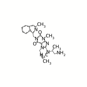 CC#CCn1c(N(C)[C@@H](C)CN)nc2c1c(=O)n(Cc1nc(C)cc3ccccc13)c(=O)n2C